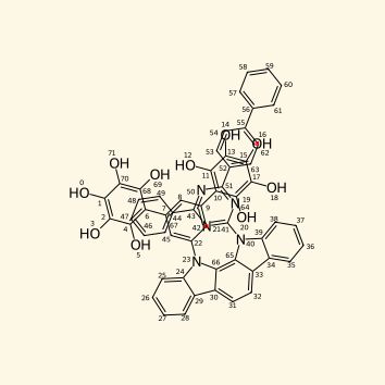 Oc1c(O)c(O)c(-c2cc(-c3c(O)c(O)c(O)c(O)c3O)cc(-n3c4ccccc4c4ccc5c6ccccc6n(-c6nc(-c7ccccc7)nc(-c7ccc(-c8ccccc8)cc7)n6)c5c43)c2)c(O)c1O